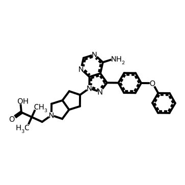 CC(C)(CN1CC2CC(n3nc(-c4ccc(Oc5ccccc5)cc4)c4c(N)ncnc43)CC2C1)C(=O)O